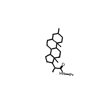 CC1CCC2(C)C(CCC3C2CCC2(C)C(C(C)C(=O)NC(C)C)CCC32)C1